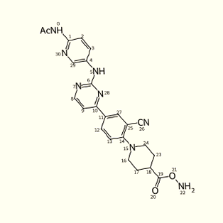 CC(=O)Nc1ccc(Nc2nccc(-c3ccc(N4CCC(C(=O)ON)CC4)c(C#N)c3)n2)cn1